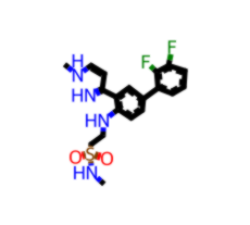 CN/C=C\C(=N)c1cc(-c2cccc(F)c2F)ccc1NCCS(=O)(=O)NC